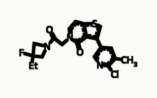 CCC1(F)CN(C(=O)Cn2ccc3scc(-c4cnc(Cl)c(C)c4)c3c2=O)C1